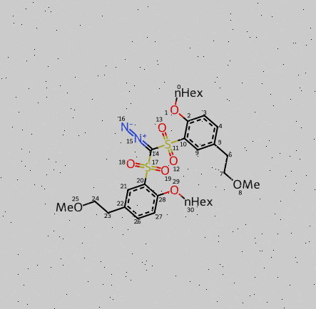 CCCCCCOc1ccc(CCOC)cc1S(=O)(=O)C(=[N+]=[N-])S(=O)(=O)c1cc(CCOC)ccc1OCCCCCC